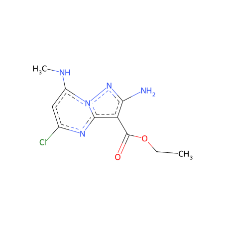 CCOC(=O)c1c(N)nn2c(NC)cc(Cl)nc12